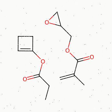 C=C(C)C(=O)OCC1CO1.CCC(=O)OC1=CCC1